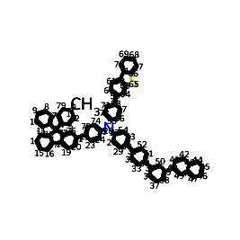 CC1C=CC(C2(c3ccccc3)c3ccccc3-c3ccc(-c4ccc(N(c5ccc(-c6ccc(-c7cccc(-c8ccc9ccccc9c8)c7)cc6)cc5)c5ccc(-c6ccc7c(c6)sc6ccccc67)cc5)cc4)cc32)=CC1